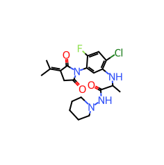 CC(C)=C1CC(=O)N(c2cc(NC(C)C(=O)NN3CCCCC3)c(Cl)cc2F)C1=O